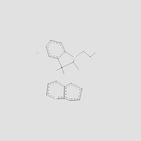 CC1N(CCC(=O)O)c2ccccc2C1(C)C.I.c1ccc2ncccc2c1